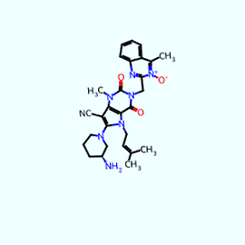 CC(C)=CCn1c(N2CCC[C@H](N)C2)c(C#N)c2c1c(=O)n(Cc1nc3ccccc3c(C)[n+]1[O-])c(=O)n2C